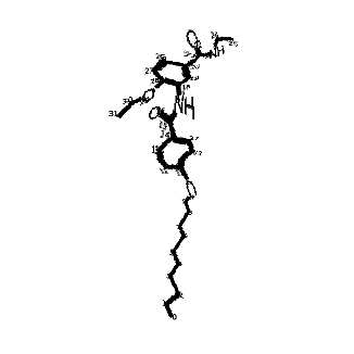 CCCCCCCCCCOc1ccc(C(=O)Nc2cc(C(=O)NCC)ccc2OCC)cc1